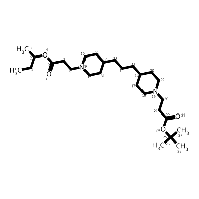 CCC(C)OC(=O)CCN1CCC(CCCC2CCN(CCC(=O)OC(C)(C)C)CC2)CC1